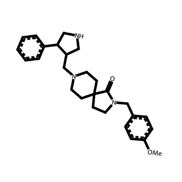 COc1ccc(CN2CCC3(CCN(CC4CNCC4c4ccccc4)CC3)C2=O)cc1